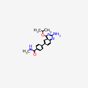 CNC(=O)c1ccc(-c2ccc3nc(N)nc(OC(C)C)c3c2)cc1